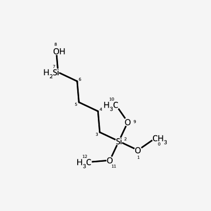 CO[Si](CCCC[SiH2]O)(OC)OC